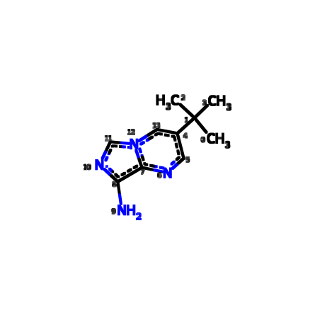 CC(C)(C)c1cnc2c(N)ncn2c1